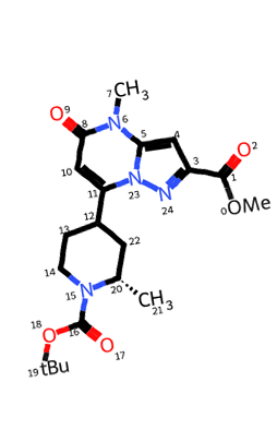 COC(=O)c1cc2n(C)c(=O)cc(C3CCN(C(=O)OC(C)(C)C)[C@@H](C)C3)n2n1